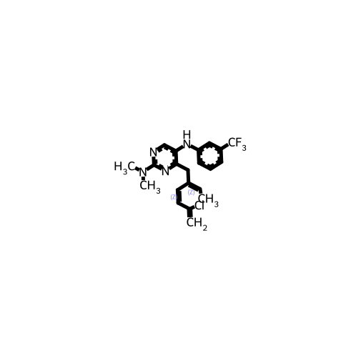 C=C(Cl)/C=C\C(=C/C)Cc1nc(N(C)C)ncc1Nc1cccc(C(F)(F)F)c1